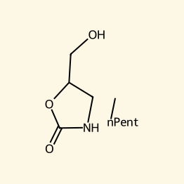 CCCCCC.O=C1NCC(CO)O1